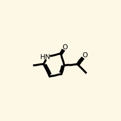 CC(=O)c1ccc(C)[nH]c1=O